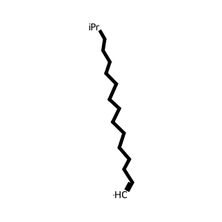 [CH]=CCCCCCCCCCCCCC(C)C